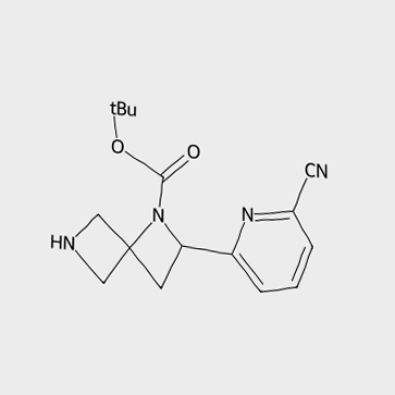 CC(C)(C)OC(=O)N1C(c2cccc(C#N)n2)CC12CNC2